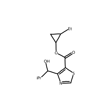 CCC1CC1OC(=O)c1scnc1C(O)C(C)C